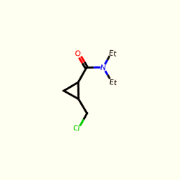 CCN(CC)C(=O)C1CC1CCl